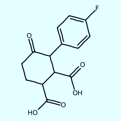 O=C(O)C1CCC(=O)C(c2ccc(F)cc2)C1C(=O)O